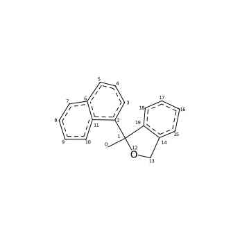 CC1(c2cccc3ccccc23)OCc2ccccc21